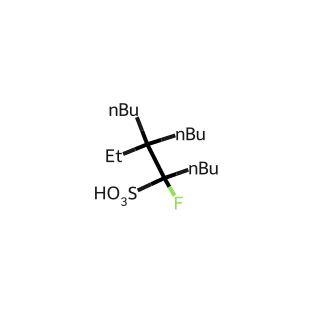 CCCCC(CC)(CCCC)C(F)(CCCC)S(=O)(=O)O